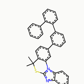 CC1(C)Sc2nc3ccccc3n2-c2cc(-c3cccc(-c4ccccc4-c4ccccc4)c3)ccc21